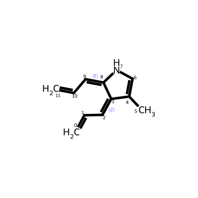 C=C/C=c1/c(C)c[nH]/c1=C/C=C